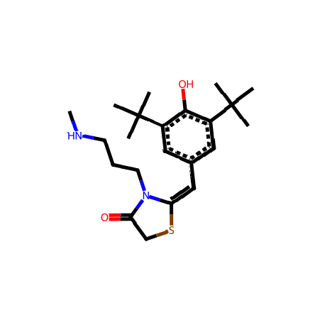 CNCCCN1C(=O)CSC1=Cc1cc(C(C)(C)C)c(O)c(C(C)(C)C)c1